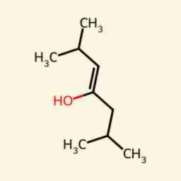 CC(C)C=C(O)CC(C)C